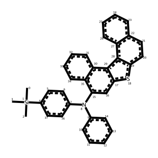 C[Si](C)(C)c1ccc(N(c2ccccc2)c2cc3sc4ccc5ccccc5c4c3c3ccccc23)cc1